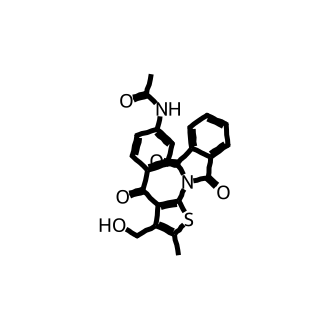 CC(=O)Nc1ccc(C(=O)c2c(N3C(=O)c4ccccc4C3=O)sc(C)c2CO)cc1